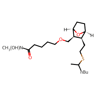 CCCCC(C)SCC[C@H]1[C@@H](COCCCCC(=O)N(C)O)[C@H]2CC[C@@H]1O2